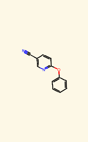 N#Cc1ccc(Oc2ccccc2)nc1